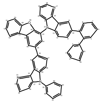 c1ccc(-c2ccccc2-c2ccc3c(c2)c2ncccc2n3-c2cc(-c3ccc4c(c3)c3ncccc3n4-c3ccccc3)cc3c2oc2ccccc23)cc1